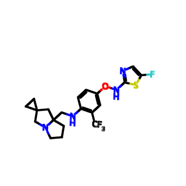 Fc1cnc(NOc2ccc(NCC34CCCN3CC3(CC3)C4)c(C(F)(F)F)c2)s1